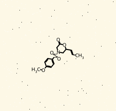 CC=CC1CN(S(=O)(=O)c2ccc(OC)cc2)CC(=O)O1